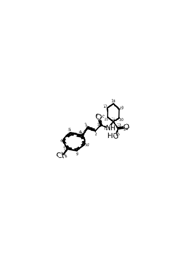 O=C(/C=C/c1ccc(Cl)cc1)NC1(C(=O)O)CCCCC1